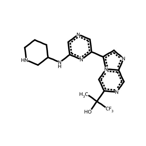 CC(O)(c1cn2c(-c3cncc(NC4CCCNC4)n3)cnc2cn1)C(F)(F)F